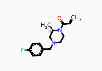 C=CC(=O)N1CCN(Cc2ccc(F)cc2)C[C@H]1C